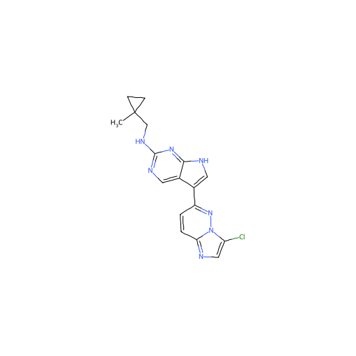 CC1(CNc2ncc3c(-c4ccc5ncc(Cl)n5n4)c[nH]c3n2)CC1